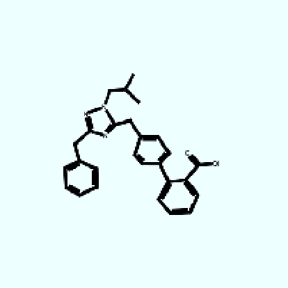 CC(C)Cn1nc(Cc2ccccc2)nc1Cc1ccc(-c2ccccc2C(=O)O)cc1